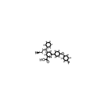 N#CCCN(c1ccccc1)c1cc(C(=O)O)nc(-c2ccc(Oc3ccc(F)cc3)cc2)c1